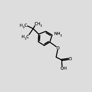 CC(C)(C)c1ccc(OCC(=O)O)cc1.N